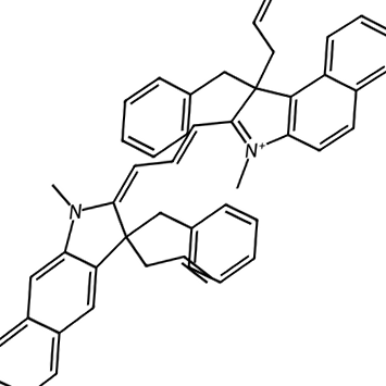 C=CCC1(Cc2ccccc2)C(/C=C/C=C2/N(C)c3cc4ccccc4cc3C2(CC=C)Cc2ccccc2)=[N+](C)c2ccc3ccccc3c21